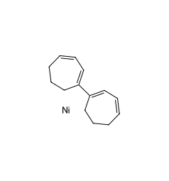 C1=CCCCC(C2=CC=CCCC2)=C1.[Ni]